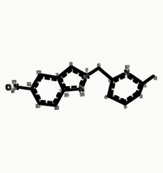 Cc1cccc(Cn2cc3cc([N+](=O)[O-])ccc3n2)n1